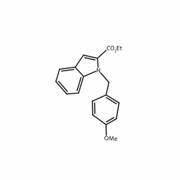 CCOC(=O)c1cc2ccccc2n1Cc1ccc(OC)cc1